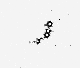 Cn1ccc(COc2ccc3c(c2)CN(c2ccccc2F)C3=O)n1